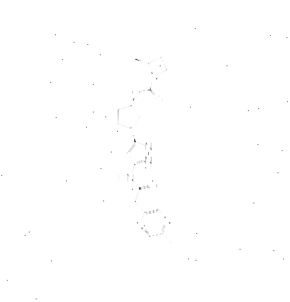 Cc1cnc(CC(=O)Nc2cc([C@H]3CC[C@@H](OC(=O)N4CC[C@@H]4C)C3)[nH]n2)cn1